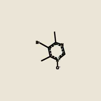 Cc1nc[n+]([O-])c(C)c1Br